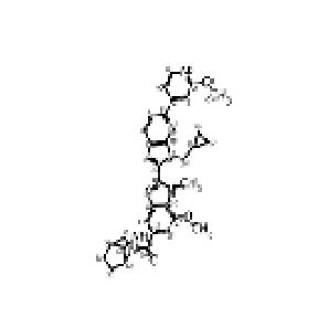 COc1cc(-c2ccc3cc(-c4nc5cc(C(=O)N6CC7CCC6C7N)cc(OC)c5n4C)n(CC4CC4)c3n2)ccn1